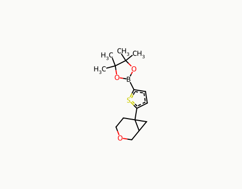 CC1(C)OB(c2ccc(C34CCOCC3C4)s2)OC1(C)C